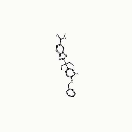 CCC(CC)(c1ccc(OCc2ccccc2)c(C)c1)c1nc2cc(C(=O)OC)ccc2o1